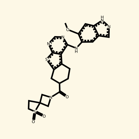 COc1cc2[nH]ncc2cc1Nc1ncnc2sc3c(c12)CCC(C(=O)N1CC2(CCS2(=O)=O)C1)C3